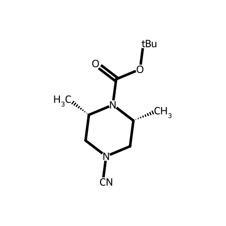 C[C@@H]1CN(C#N)C[C@H](C)N1C(=O)OC(C)(C)C